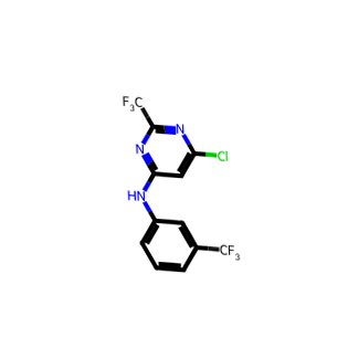 FC(F)(F)c1cccc(Nc2cc(Cl)nc(C(F)(F)F)n2)c1